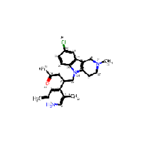 C=C/C=C(\C(C)=C/N)C(CC(=O)CCC)Cn1c2c(c3cc(Cl)ccc31)CN(C)CC2